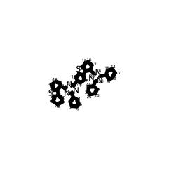 c1ccc(-c2nc(-c3ccc4c(c3)sc3cccc(-c5nc(-c6ccccc6)nc(-c6ccccc6)n5)c34)nc(-c3cccc4sc5ccccc5c34)n2)cc1